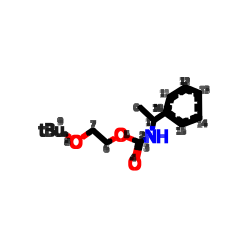 CC(NC(=O)OCCOC(C)(C)C)c1ccccc1